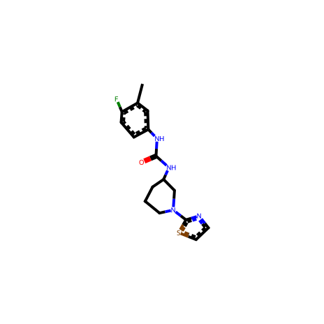 Cc1cc(NC(=O)NC2CCCN(c3nccs3)C2)ccc1F